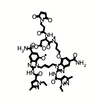 CCn1nc(C)cc1C(=O)Nc1nc2cc(C(N)=O)cc(OC)c2n1C/C=C/Cn1c(NC(=O)c2cc(C)nn2CC)nc2cc(C(N)=O)cc(OCCCN(C)C(=O)C(CC(=O)O)NC(=O)CCN3C(=O)C=CC3=O)c21